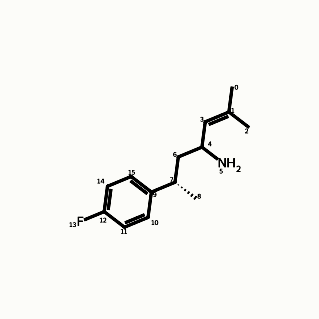 CC(C)=CC(N)C[C@H](C)c1ccc(F)cc1